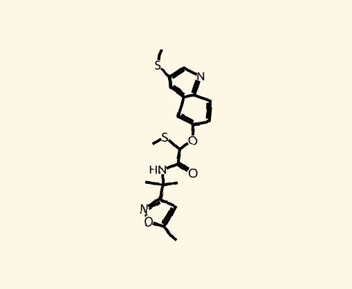 CSc1cnc2ccc(OC(SC)C(=O)NC(C)(C)c3cc(C)on3)cc2c1